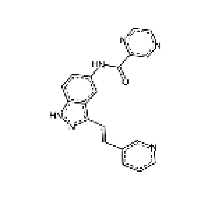 O=C(Nc1ccc2[nH]nc(C=Cc3cccnc3)c2c1)c1cnccn1